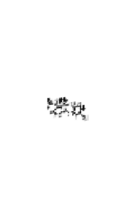 N#Cc1cc(CN2CC(F)(F)c3c(C(O)C(F)F)cccc32)c(Cl)cn1